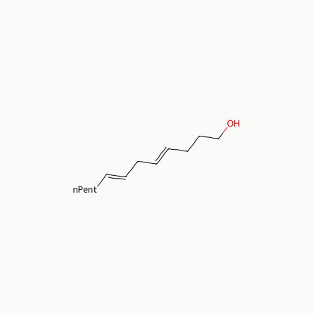 CCCCCC=CCC=CCCCO